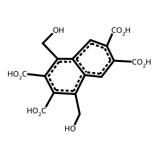 O=C(O)c1cc2c(CO)c(C(=O)O)c(C(=O)O)c(CO)c2cc1C(=O)O